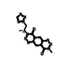 C[C@H](Cn1ncnn1)n1nnc2cc3c(=O)n(C)nnc3cc2c1=O